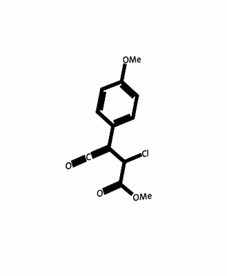 COC(=O)C(Cl)C(=C=O)c1ccc(OC)cc1